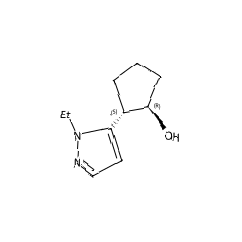 CCn1nccc1[C@@H]1CCC[C@H]1O